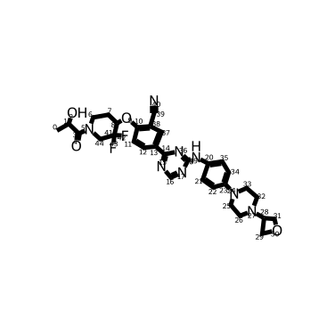 CC(O)C(=O)N1CCC(Oc2ccc(-c3ncnc(Nc4ccc(N5CCN(C6COC6)CC5)cc4)n3)cc2C#N)C(F)(F)C1